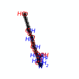 NC(=O)[C@H](CO)NCC(=O)[C@H](CCCCNC(=O)COCCOCCNC(=O)COCCOCCNC(=O)CCCCOCCNC(=O)CCCCCCCCCCCCCCCCC(=O)O)NCC(=O)[C@@H](N)Cc1cnc[nH]1